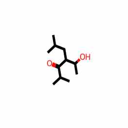 CC(C)CC(C(=O)C(C)C)C(C)O